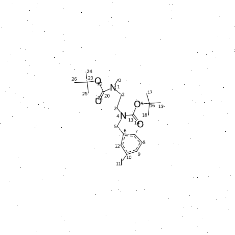 CN(CCN(Cc1cccc(I)c1)C(=O)OC(C)(C)C)C(=O)OC(C)(C)C